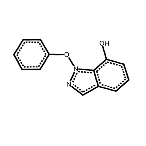 Oc1cccc2cnn(Oc3ccccc3)c12